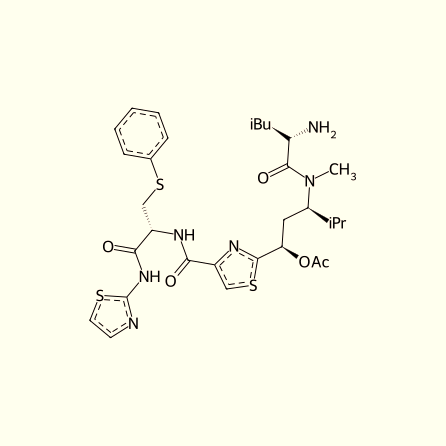 CC[C@H](C)[C@H](N)C(=O)N(C)[C@H](C[C@@H](OC(C)=O)c1nc(C(=O)N[C@@H](CSc2ccccc2)C(=O)Nc2nccs2)cs1)C(C)C